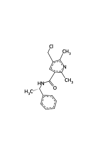 Cc1nc(C)c(C(=O)N[C@@H](C)c2ccccc2)cc1CCl